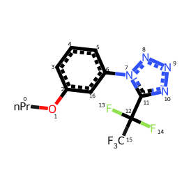 CCCOc1cccc(-n2nnnc2C(F)(F)C(F)(F)F)c1